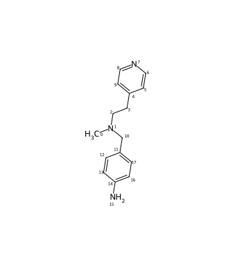 CN(CCc1ccncc1)Cc1ccc(N)cc1